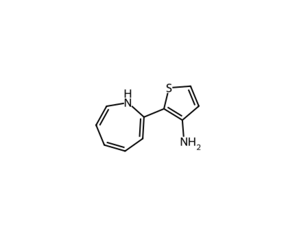 Nc1ccsc1C1=CC=CC=CN1